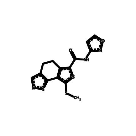 CSc1sc(C(=O)Nc2ccon2)c2c1-c1sncc1CC2